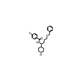 O=C(NC(CCCOCc1ccccc1)C1CCNCC1)c1ccc(F)cc1